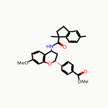 COC(=O)c1ccc([C@H]2C[C@@H](NC(=O)C3(C)CCc4cc(C)ccc43)c3ccc(OC)cc3O2)cc1